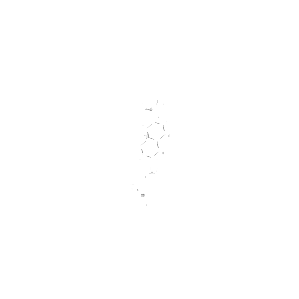 COC(=O)c1ccc2cc(OCCN(C)C)ccc2c1